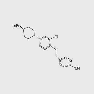 CCC[C@H]1CC[C@H](c2ccc(CCc3ccc(C#N)cc3)c(Cl)c2)CC1